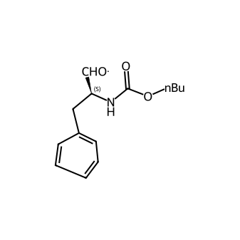 CCCCOC(=O)N[C@H]([C]=O)Cc1ccccc1